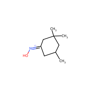 CC1C/C(=N\O)CC(C)(C)C1